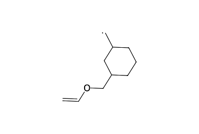 [CH2]C1CCCC(COC=C)C1